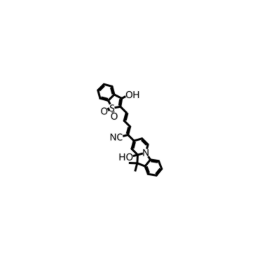 CC1(C)c2ccccc2N2C=CC(/C(C#N)=C/C=C/C3=C(O)c4ccccc4S3(=O)=O)=CC21O